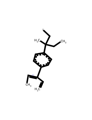 C=C/C(=C\C)c1ccc(C(C)(CC)CI)cc1